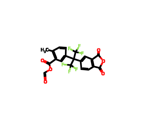 Cc1ccc(C(c2ccc3c(c2)C(=O)OC3=O)(C(F)(F)F)C(F)(F)F)cc1C(=O)OC=O